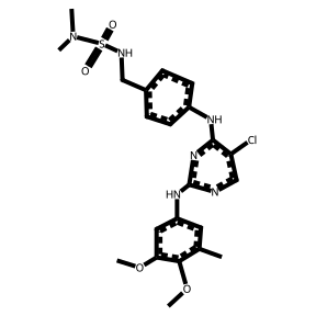 COc1cc(Nc2ncc(Cl)c(Nc3ccc(CNS(=O)(=O)N(C)C)cc3)n2)cc(C)c1OC